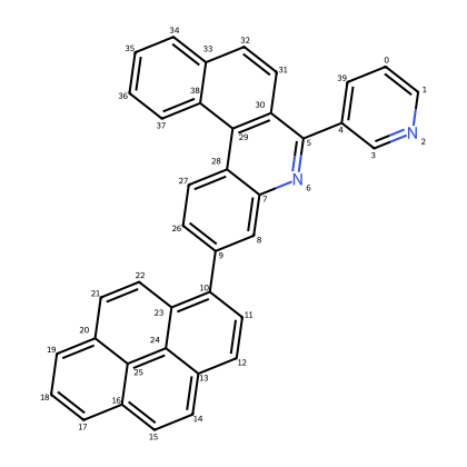 c1cncc(-c2nc3cc(-c4ccc5ccc6cccc7ccc4c5c67)ccc3c3c2ccc2ccccc23)c1